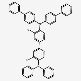 Clc1cc(-c2ccc(N(c3ccc(-c4ccccc4)cc3)c3ccc(-c4ccccc4)cc3)c(Cl)c2)ccc1N(c1ccccc1)c1ccccc1